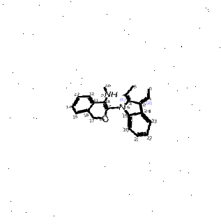 C/C=c1\c(=C/C)n(C2=C(NC)c3ccccc3CO2)c2ccccc12